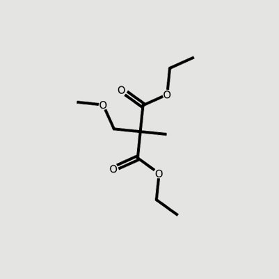 CCOC(=O)C(C)(COC)C(=O)OCC